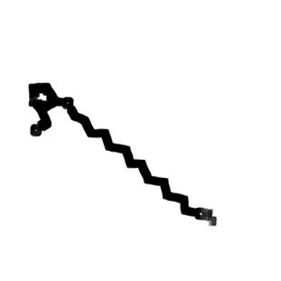 CCCCCCCCCCCCCCOc1ccsc1C=O